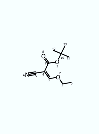 CCO/C=C(/C#N)C(=O)OC(C)(C)C